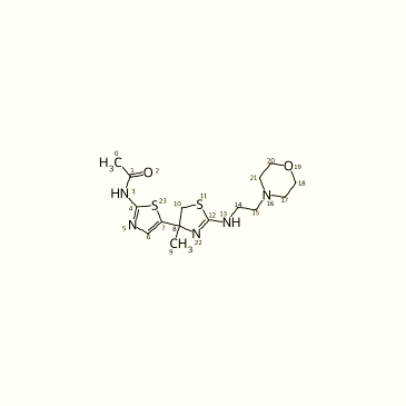 CC(=O)Nc1ncc(C2(C)CSC(NCCN3CCOCC3)=N2)s1